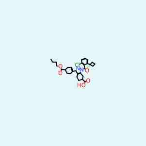 CCCCOC(=O)C1CC=C(c2nn(C(=O)c3c(Cl)cccc3C3(F)CCC3)c3c2CCC(C(=O)O)C3)CC1